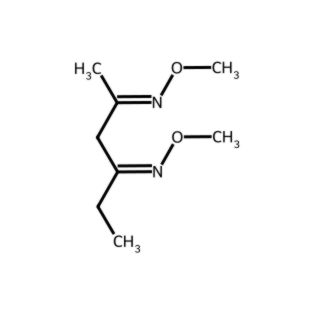 CCC(CC(C)=NOC)=NOC